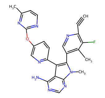 C#Cc1ncc(-c2c(-c3ccc(Oc4nccc(C)n4)cn3)c3c(N)ncnc3n2C)c(C)c1F